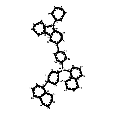 c1ccc(-n2c3ccccc3c3cc(-c4ccc(N(c5ccc(-c6cccc7ccccc67)cc5)c5cccc6ccccc56)cc4)ccc32)cc1